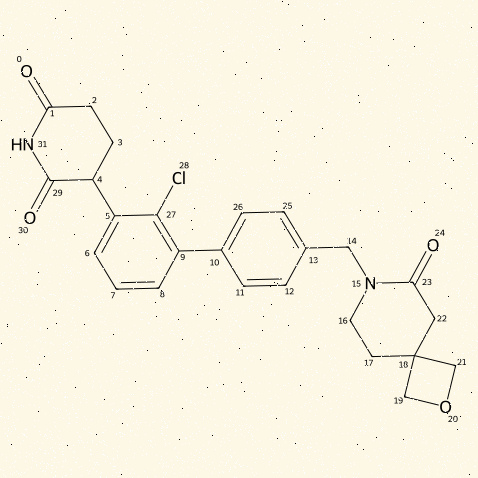 O=C1CCC(c2cccc(-c3ccc(CN4CCC5(COC5)CC4=O)cc3)c2Cl)C(=O)N1